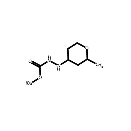 CC1CC(NNC(=O)OC(C)(C)C)CCO1